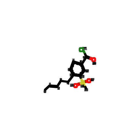 CC=CCCc1ccc(C(=O)Cl)cc1S(C)(=O)=O